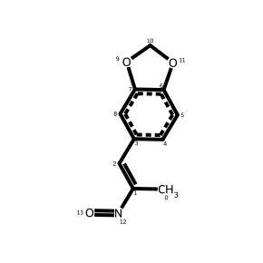 C/C(=C\c1ccc2c(c1)OCO2)N=O